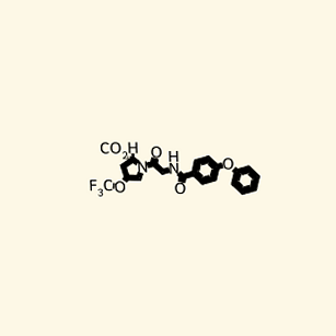 O=C(NCC(=O)N1CC(OC(F)(F)F)C[C@H]1C(=O)O)c1ccc(Oc2ccccc2)cc1